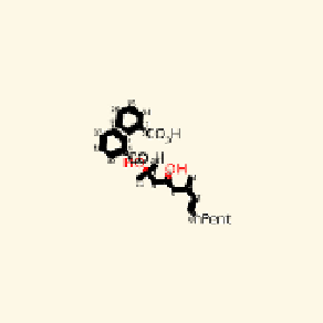 CCCCCC=CC(C)CC(O)CC(C)(C)O.O=C(O)c1ccccc1.O=C(O)c1ccccc1